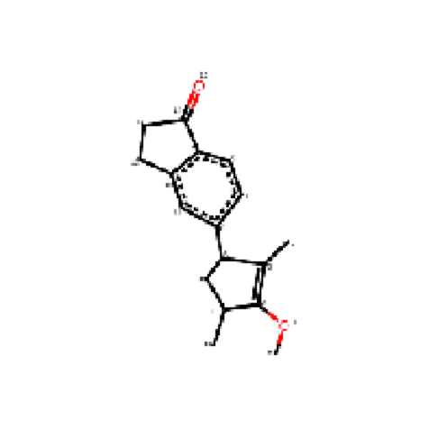 COC1=C(C)C(c2ccc3c(c2)CCC3=O)CC1C